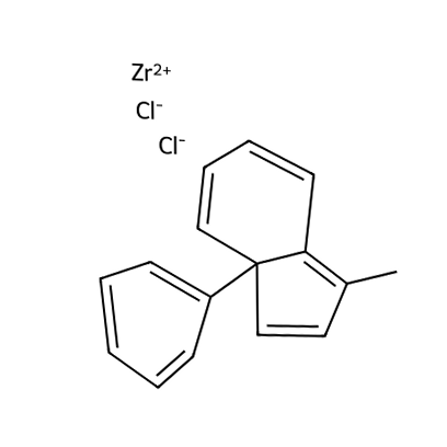 CC1=C2C=CC=CC2(c2ccccc2)C=C1.[Cl-].[Cl-].[Zr+2]